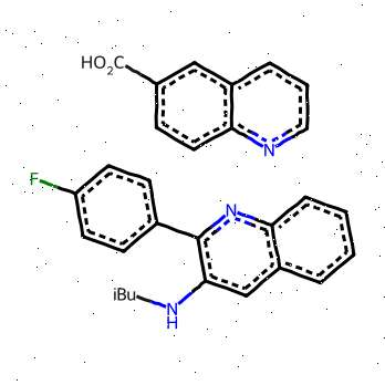 CCC(C)Nc1cc2ccccc2nc1-c1ccc(F)cc1.O=C(O)c1ccc2ncccc2c1